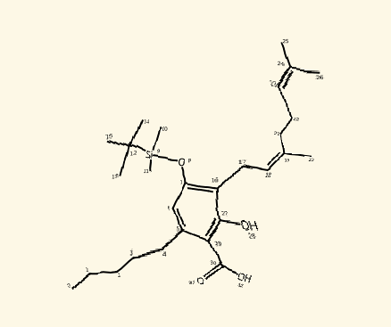 CCCCCc1cc(O[Si](C)(C)C(C)(C)C)c(CC=C(C)CCC=C(C)C)c(O)c1C(=O)O